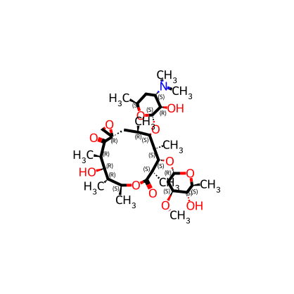 CO[C@H]1C[C@H](O[C@H]2[C@@H](C)[C@@H](O[C@@H]3O[C@@H](C)C[C@H](N(C)C)[C@H]3O)[C@H](C)C[C@@]3(CO3)C(=O)[C@H](C)[C@H](O)[C@@H](C)[C@H](C)OC(=O)[C@H]2C)O[C@@H](C)[C@@H]1O